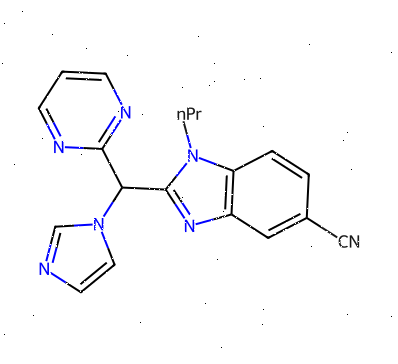 CCCn1c(C(c2ncccn2)n2ccnc2)nc2cc(C#N)ccc21